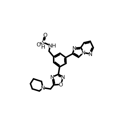 O=[SH](=O)NCc1cc(-c2cn3ncccc3n2)cc(-c2noc(CN3CCCCC3)n2)c1